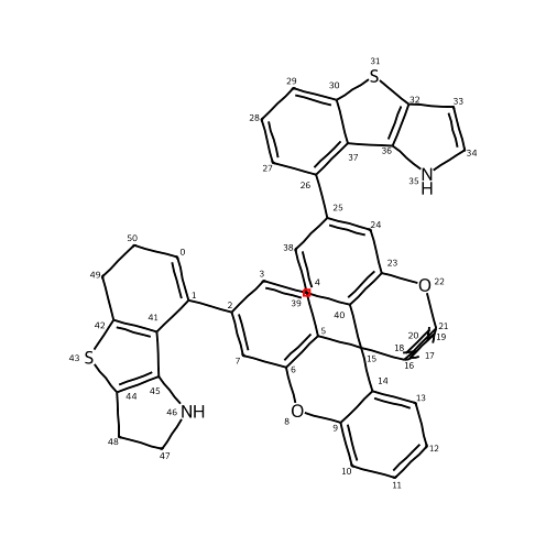 C1=C(c2ccc3c(c2)Oc2ccccc2C32c3ccccc3Oc3cc(-c4cccc5sc6cc[nH]c6c45)ccc32)c2c(sc3c2NCC3)CC1